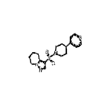 O=S(=O)(c1cnn2c1CCCC2)N1CCC(c2ccncc2)CC1